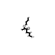 CCCCOC(C)C(=O)CCCI